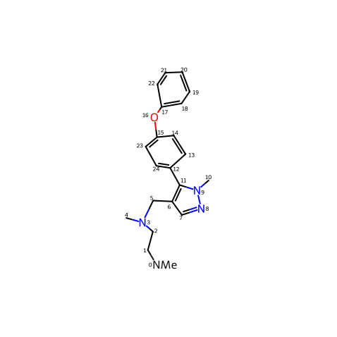 CNCCN(C)Cc1cnn(C)c1-c1ccc(Oc2ccccc2)cc1